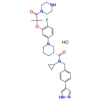 CC(C)(Oc1cc(N2CCC[C@@H](C(=O)N(Cc3ccc(-c4cn[nH]c4)cc3)C3CC3)C2)ccc1F)C(=O)N1CCNCC1.Cl